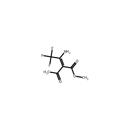 COC(=O)C(C(C)=O)=C(N)C(F)(F)F